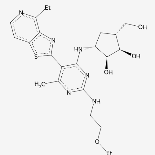 CCOCCNc1nc(C)c(-c2nc3c(CC)nccc3s2)c(N[C@@H]2C[C@H](CO)[C@@H](O)[C@H]2O)n1